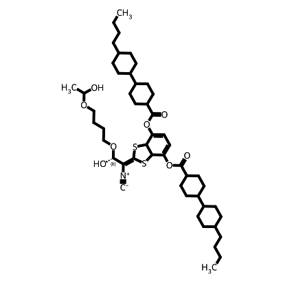 [C-]#[N+]C(=C1SC2C(OC(=O)C3CCC(C4CCC(CCCC)CC4)CC3)=CC=C(OC(=O)C3CCC(C4CCC(CCCC)CC4)CC3)C2S1)[C@H](O)OCCCCOC(C)O